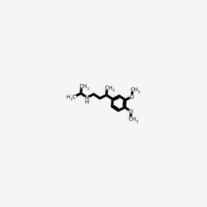 COc1ccc(C(C)CCNC(C)C)cc1OC